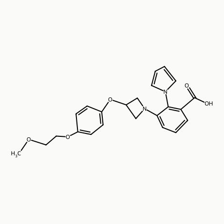 COCCOc1ccc(OC2CN(c3cccc(C(=O)O)c3-n3cccc3)C2)cc1